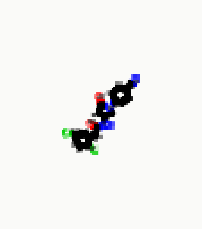 N#Cc1ccc(N2CC(NC(=O)Cc3cc(Cl)ccc3Cl)CC2=O)cc1